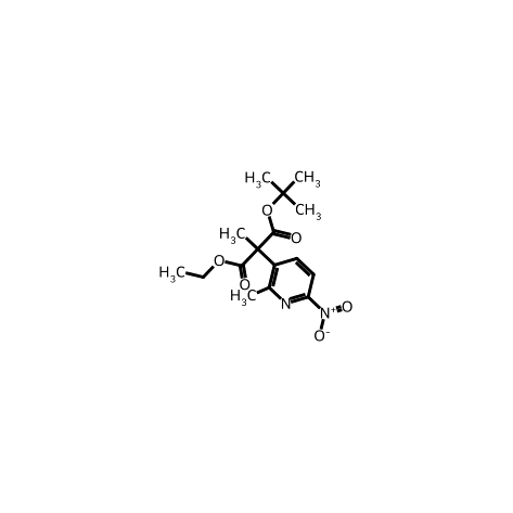 CCOC(=O)C(C)(C(=O)OC(C)(C)C)c1ccc([N+](=O)[O-])nc1C